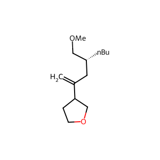 C=C(C[C@@H](CCCC)COC)C1CCOC1